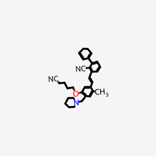 Cc1cc(CN2CCCCC2)c(OCCCCC#N)cc1/C=C/c1cccc(C2=CCCC=C2)c1C#N